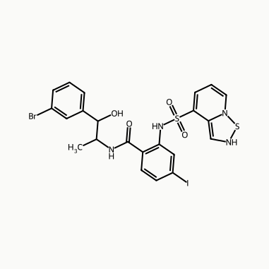 CC(NC(=O)c1ccc(I)cc1NS(=O)(=O)C1=CC=CN2SNC=C12)C(O)c1cccc(Br)c1